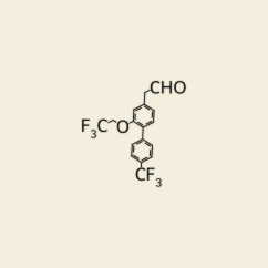 O=CCc1ccc(-c2ccc(C(F)(F)F)cc2)c(OCC(F)(F)F)c1